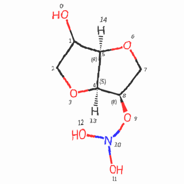 OC1CO[C@H]2[C@@H]1OC[C@H]2ON(O)O